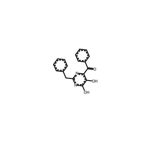 O=C(c1ccccc1)c1nc(Cc2ccccc2)nc(O)c1O